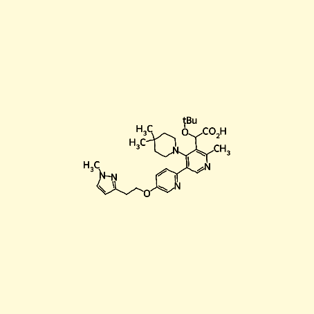 Cc1ncc(-c2ccc(OCCc3ccn(C)n3)cn2)c(N2CCC(C)(C)CC2)c1C(OC(C)(C)C)C(=O)O